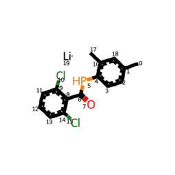 Cc1ccc(PC(=O)c2c(Cl)cccc2Cl)c(C)c1.[Li]